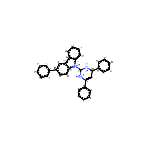 C1=C(c2ccccc2)NC(n2c3ccccc3c3cc(-c4ccccc4)ccc32)NC1c1ccccc1